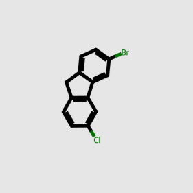 Clc1ccc2c(c1)-c1cc(Br)ccc1C2